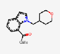 COC(=O)c1cccc2ccn(CC3CCOCC3)c12